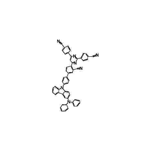 N#Cc1ccc(-c2cc(-c3ccc(-c4ccc(-n5c6ccccc6c6cc(N(c7ccccc7)c7ccccc7)ccc65)cc4)cc3C#N)nc(-c3ccc(C#N)cc3)n2)cc1